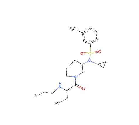 CC(C)CCNC(CC(C)C)C(=O)N1CCCC(N(C2CC2)S(=O)(=O)c2cccc(C(F)(F)F)c2)C1